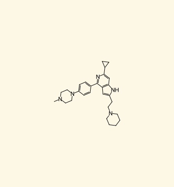 CN1CCN(c2ccc(-c3nc(C4CC4)cc4[nH]c(CCN5CCCCC5)cc34)cc2)CC1